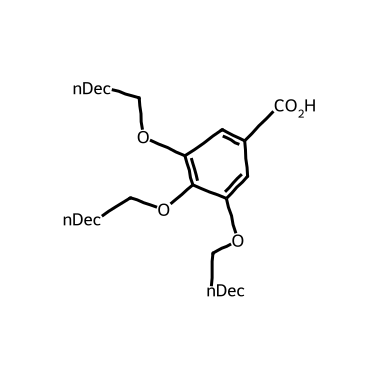 CCCCCCCCCCCOc1cc(C(=O)O)cc(OCCCCCCCCCCC)c1OCCCCCCCCCCC